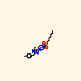 CCCCCCCCS(=O)(=O)N1CCN(c2nc(Cc3ccc(C)cc3)ns2)CC1